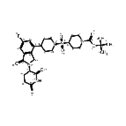 CC(C)(C)OC(=O)N1CCC(S(=O)(=O)N2CCC(c3cc(F)cc4c3CN(C3CCC(=O)NC3=O)C4=O)CC2)CC1